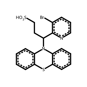 O=S(=O)(O)CCC(c1ncccc1Br)N1c2ccccc2Sc2ccccc21